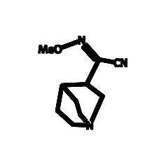 CO/N=C(/C#N)C1CN2CCC1CC2